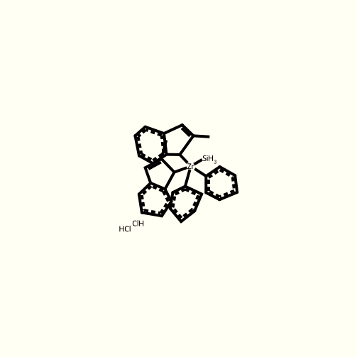 CC1=Cc2ccccc2[CH]1[Zr]([SiH3])([c]1ccccc1)([c]1ccccc1)[CH]1C(C)=Cc2ccccc21.Cl.Cl